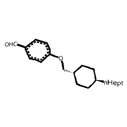 CCCCCCC[C@H]1CC[C@H](COc2ccc(C=O)cc2)CC1